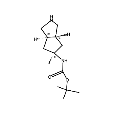 CC(C)(C)OC(=O)N[C@@]1(C)C[C@H]2CNC[C@H]2C1